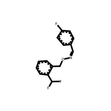 Fc1ccc(/[C]=N\OCc2ccccc2C(F)F)cc1